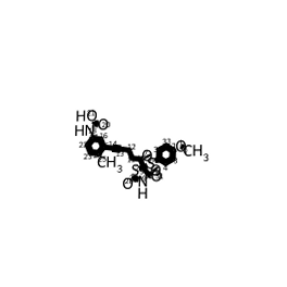 COc1ccc(S(=O)(=O)C2(CCCC#Cc3cc(NC(=O)O)ccc3C)SC(=O)NC2=O)cc1